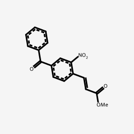 COC(=O)/C=C/c1ccc(C(=O)c2ccccc2)cc1[N+](=O)[O-]